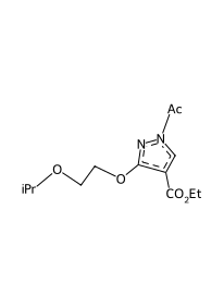 CCOC(=O)c1cn(C(C)=O)nc1OCCOC(C)C